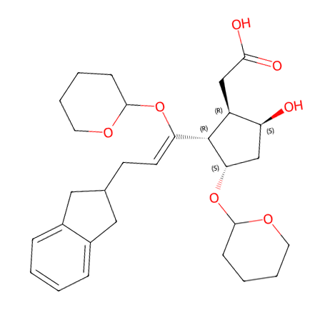 O=C(O)C[C@@H]1[C@@H](C(=CCC2Cc3ccccc3C2)OC2CCCCO2)[C@@H](OC2CCCCO2)C[C@@H]1O